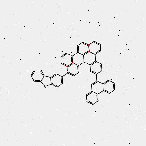 c1ccc(-c2ccccc2N(c2ccc(-c3ccc4sc5ccccc5c4c3)cc2)c2cc(-c3cc4ccccc4c4ccccc34)ccc2-c2ccccc2)cc1